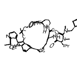 CCn1c(-c2cccnc2[C@H](C)OC)c2c3cc(ccc31)-c1csc(n1)C[C@H](NC(=O)[C@H](C(C)C)N(C)C(=O)N(C)C[C@H]1CCCN1C)C(=O)N1CCCC(C=O)(COCC(C)(C)C2)N1